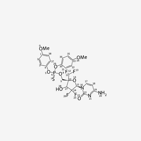 COc1ccc(OP(=S)(OC[C@@]2(C(F)F)O[C@@H](n3ccc(N)nc3=O)C(F)(F)C2O)Oc2ccc(OC)cc2)cc1